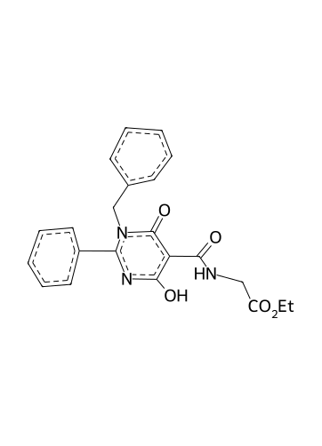 CCOC(=O)CNC(=O)c1c(O)nc(-c2ccccc2)n(Cc2ccccc2)c1=O